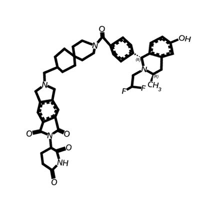 C[C@@H]1Cc2cc(O)ccc2[C@@H](c2ccc(C(=O)N3CCC4(CCC(CN5Cc6cc7c(cc6C5)C(=O)N(C5CCC(=O)NC5=O)C7=O)CC4)CC3)cc2)N1CC(F)F